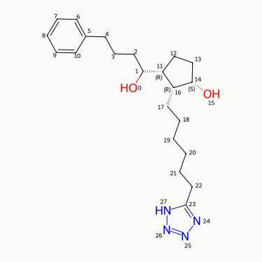 OC(CCCc1ccccc1)[C@@H]1CC[C@H](O)[C@@H]1CCCCCCc1nnn[nH]1